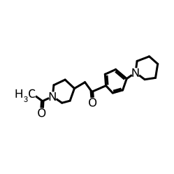 CC(=O)N1CCC(CC(=O)c2ccc(N3CCCCC3)cc2)CC1